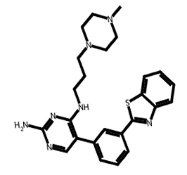 CN1CCN(CCCNc2nc(N)ncc2-c2cccc(-c3nc4ccccc4s3)c2)CC1